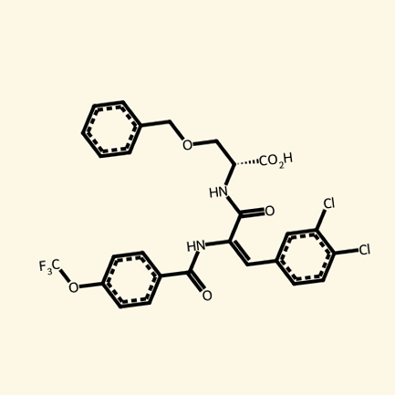 O=C(N[C@H](COCc1ccccc1)C(=O)O)/C(=C\c1ccc(Cl)c(Cl)c1)NC(=O)c1ccc(OC(F)(F)F)cc1